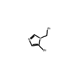 CC(C)Cn1cncc1C(C)C